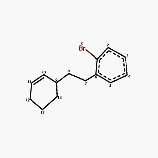 Brc1ccccc1CCC1C=CCCC1